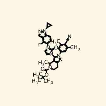 Cc1cc(-n2nc3c(c2-n2ccn(-c4ccc5c(cnn5C5CC5)c4F)c2=O)[C@H](C)N(C(=O)OC(C)(C)C)CC3)cc(C)c1C#N